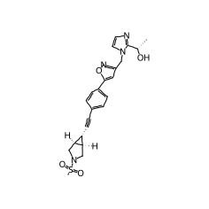 C[C@H](O)c1nccn1Cc1cc(-c2ccc(C#C[C@@H]3[C@H]4CN(S(C)(=O)=O)C[C@@H]34)cc2)on1